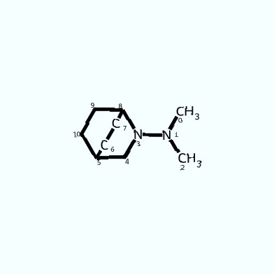 CN(C)N1CC2CCC1CC2